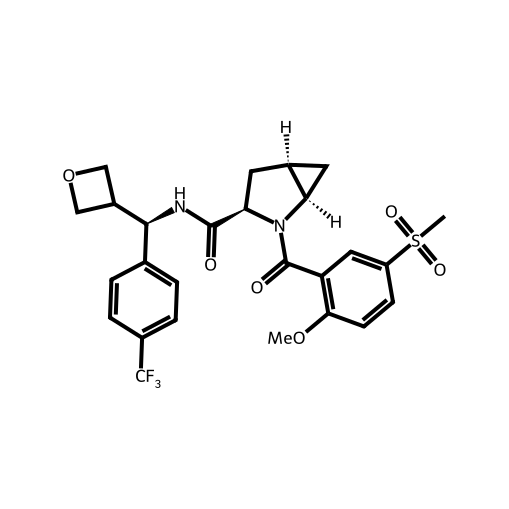 COc1ccc(S(C)(=O)=O)cc1C(=O)N1[C@@H](C(=O)N[C@@H](c2ccc(C(F)(F)F)cc2)C2COC2)C[C@H]2C[C@H]21